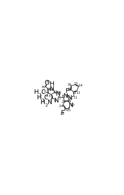 CC1(C)c2c(N)nc(-c3nn(Cc4ccccc4F)c4ncc(F)cc34)nc2NC1C=O